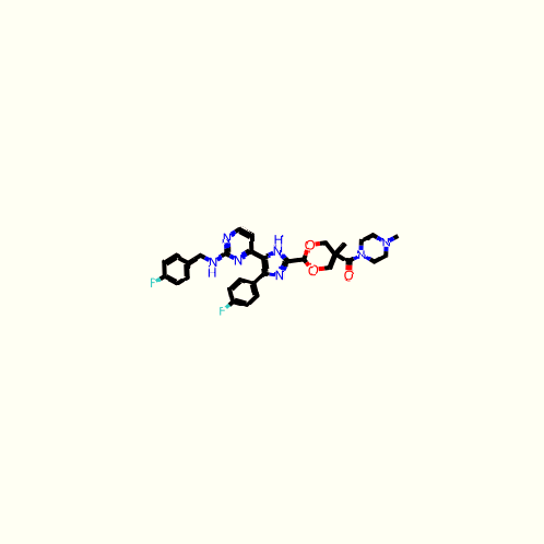 CN1CCN(C(=O)C2(C)COC(c3nc(-c4ccc(F)cc4)c(-c4ccnc(NCc5ccc(F)cc5)n4)[nH]3)OC2)CC1